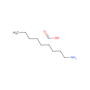 CCCCCCCCCN.O=CO